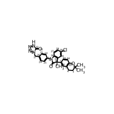 CC1(C)CCc2cc([C@]3(C)C(=O)N(c4ccc(Cn5nn[nH]c5=O)cc4)c4ccc(Cl)cc43)ccc2O1